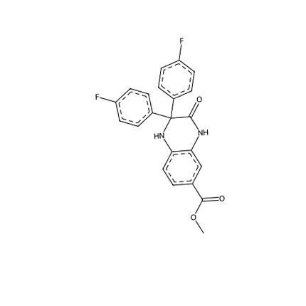 COC(=O)c1ccc2c(c1)NC(=O)C(c1ccc(F)cc1)(c1ccc(F)cc1)N2